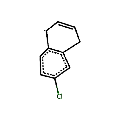 Clc1ccc2c(c1)CC=C[CH]2